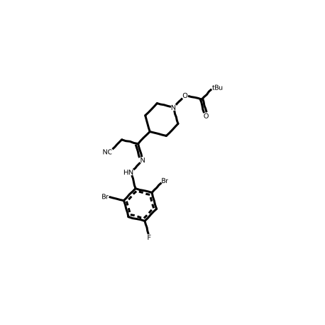 CC(C)(C)C(=O)ON1CCC(C(CC#N)=NNc2c(Br)cc(F)cc2Br)CC1